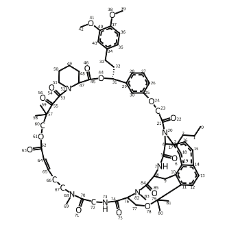 CCCCC1C(=O)NC2Cc3c4ccc5ccc(cc35)N1C(=O)COc1cccc(c1)[C@@H](CCc1ccc(OC)c(OC)c1)OC(=O)C1CCCCN1C(=O)C(=O)C(C)(C)COC(=O)/C=C\CCN(C)C(=O)CNC(=O)C(COC4(C)C)N(C)C2=O